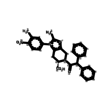 Cc1cc(-n2c(C)nc3c2C[C@@H](C(=O)O)N(C(=O)C(c2ccccc2)c2ccccc2)C3)ccc1[N+](=O)[O-]